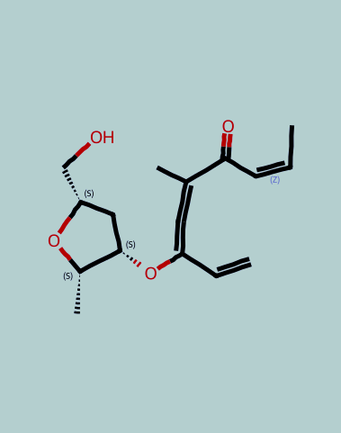 C=CC(=C=C(C)C(=O)/C=C\C)O[C@H]1C[C@@H](CO)O[C@H]1C